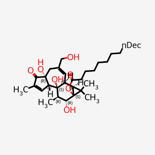 CCCCCCCCCCCCCCCCCC(=O)O[C@@]12[C@H](O)[C@@H](C)[C@@]3(O)[C@@H](C=C(CO)C[C@]4(O)C(=O)C(C)=C[C@@H]34)[C@H]1C2(C)C